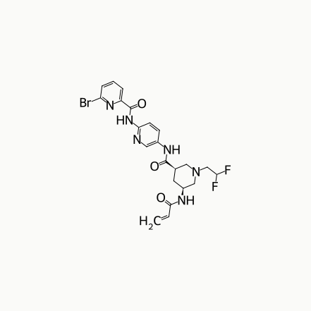 C=CC(=O)N[C@H]1C[C@@H](C(=O)Nc2ccc(NC(=O)c3cccc(Br)n3)nc2)CN(CC(F)F)C1